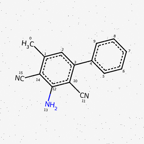 Cc1cc(-c2ccccc2)c(C#N)c(N)c1C#N